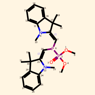 COP(=O)(OC)P(/C=C1\N(C)c2ccccc2C1(C)C)/C=C1\N(C)c2ccccc2C1(C)C